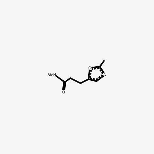 CNC(=O)CCc1cnc(C)o1